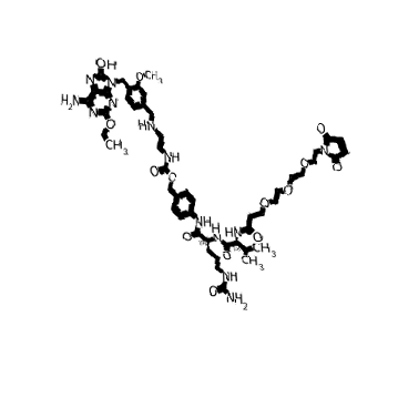 CCOc1nc(N)c2nc(O)n(Cc3ccc(CNCCNC(=O)OCc4ccc(NC(=O)[C@H](CCCNC(N)=O)NC(=O)[C@@H](NC(=O)CCOCCOCCOCCN5C(=O)C=CC5=O)C(C)C)cc4)cc3OC)c2n1